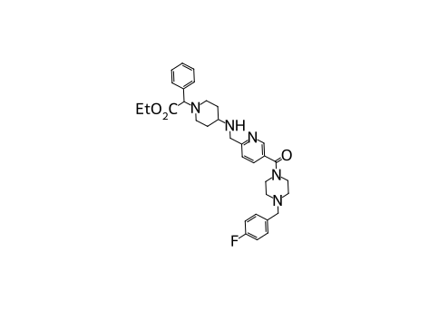 CCOC(=O)C(c1ccccc1)N1CCC(NCc2ccc(C(=O)N3CCN(Cc4ccc(F)cc4)CC3)cn2)CC1